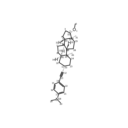 CO[C@H]1CC[C@H]2[C@@H]3CC[C@@H]4C[C@@H](C#Cc5ccc(N(C)C)cc5)CC[C@]4(C)[C@H]3CC[C@]12C